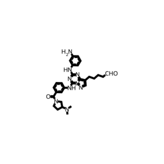 CN(C)C1CCN(C(=O)c2cccc(Nc3nc(Nc4cccc(N)c4)nc4c(CCCCC=O)cnn34)c2)C1